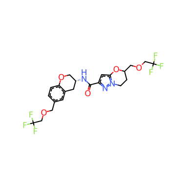 O=C(N[C@H]1COc2ccc(COCC(F)(F)F)cc2C1)c1cc2n(n1)CCC(COCC(F)(F)F)O2